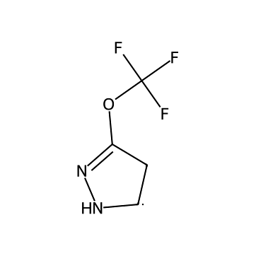 FC(F)(F)OC1=NN[CH]C1